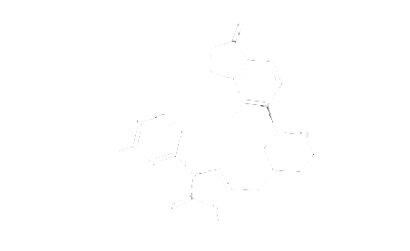 Cc1nccc(-n2cc(CN3CCN[C@H](c4ccc5c(c4C)COC5=O)C3)n(C)c2=O)n1